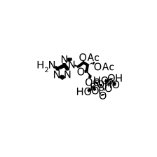 CC(=O)OC[C@H]1[C@@H](OC(C)=O)[C@H](n2cnc3c(N)ncnc32)O[C@@H]1COP(=O)(O)OP(=O)(O)OP(=O)(O)O